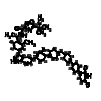 Cc1cc(-c2n[nH]c3ncc(-c4ccc(N5CCN(CC6CCN(c7ccc(N8CCC(=O)NC8=O)cc7)CC6)CC5)c(F)c4)cc23)ccc1C(C)NC(=O)c1noc(C(C)(C)C)n1